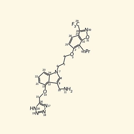 CCCc1c(OCCCn2cc(CN)c3c(OCc4nnn[nH]4)cccc32)ccc2c(C(F)(F)F)noc12